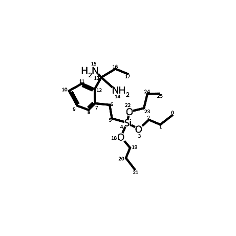 CCCO[Si](CCc1ccccc1C(N)(N)CC)(OCCC)OCCC